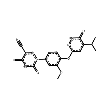 COc1cc(-n2nc(C#N)c(=O)[nH]c2=O)ccc1Oc1cc(C(C)C)c(=O)[nH]n1